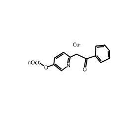 CCCCCCCCOc1ccc(CC(=O)c2ccccc2)nc1.[Cu]